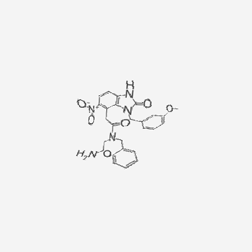 COc1cccc(Cn2c(=O)[nH]c3ccc([N+](=O)[O-])c(CC(=O)N(CC(N)=O)Cc4ccccc4)c32)c1